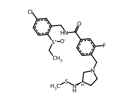 CC[S+]([O-])c1ccc(Cl)cc1CNC(=O)c1ccc(CN2CC[C@@H](NSC)C2)c(F)c1